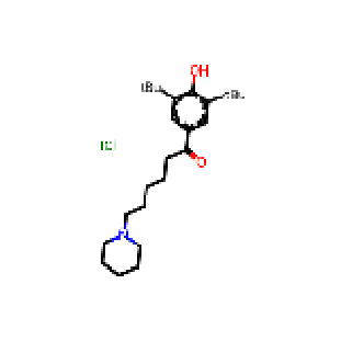 CC(C)(C)c1cc(C(=O)CCCCCN2CCCCC2)cc(C(C)(C)C)c1O.Cl